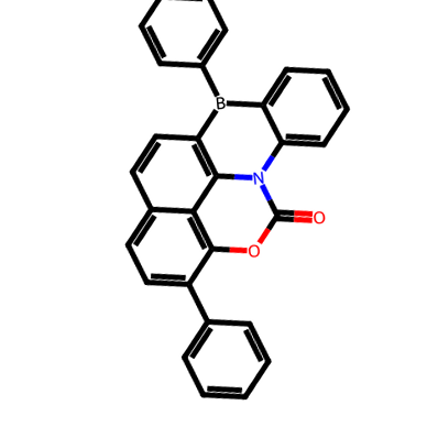 O=C1Oc2c(-c3ccccc3)ccc3ccc4c(c23)N1c1ccccc1B4c1ccccc1